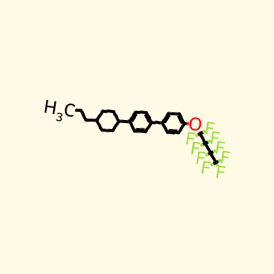 CCCC1CCC(c2ccc(-c3ccc(OC(F)(F)C(F)(F)C(F)(F)C(F)(F)F)cc3)cc2)CC1